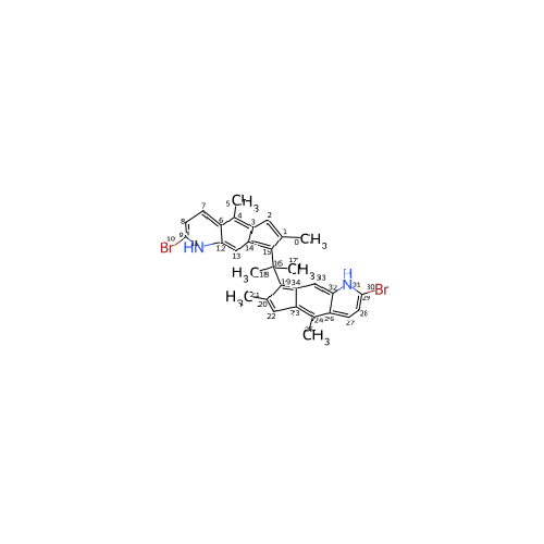 Cc1cc2c(C)c3ccc(Br)[nH]c3cc2c1C(C)(C)c1c(C)cc2c(C)c3ccc(Br)[nH]c3cc12